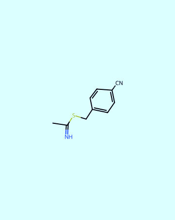 CC(=N)SCc1ccc(C#N)cc1